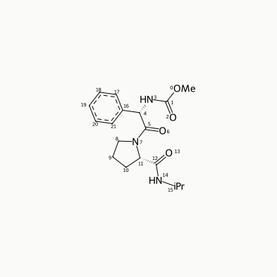 COC(=O)N[C@H](C(=O)N1CCC[C@H]1C(=O)NC(C)C)c1ccccc1